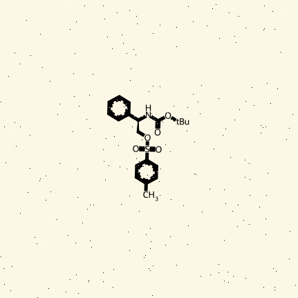 Cc1ccc(S(=O)(=O)OC[C@H](NC(=O)OC(C)(C)C)c2ccccc2)cc1